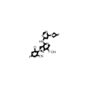 Cl.N#Cc1cc(F)cc(Cl)c1-n1cc2c(Nc3cc(N4CC(F)C4)ncn3)ncc(F)c2n1